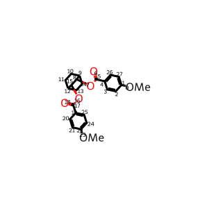 COc1ccc(C(=O)OC2C3CCC(CC3)C2OC(=O)c2ccc(OC)cc2)cc1